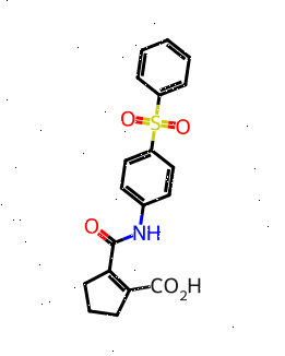 O=C(O)C1=C(C(=O)Nc2ccc(S(=O)(=O)c3ccccc3)cc2)CCC1